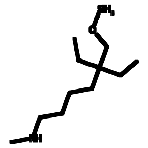 CCC(CC)(CCCCNC)CO[SiH3]